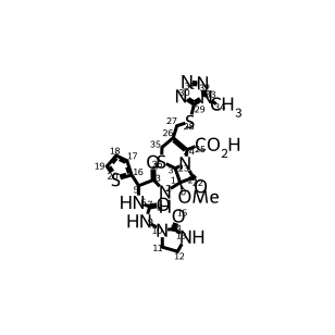 CO[C@]1(NC(=O)C(NC(=O)NN2CCNC2=O)c2cccs2)C(=O)N2C(C(=O)O)=C(CSc3nnnn3C)CSC21